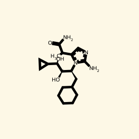 CC(C(N)=O)c1cnc(N)n1[C@@H](CC1CCCCC1)[C@@H](O)[C@@H](O)C1CC1